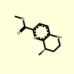 COC(=O)c1ccc2c(n1)[C@H](C)CCN2